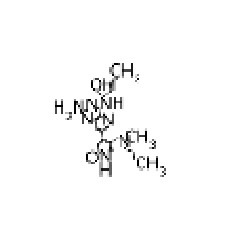 CCCCC(CO)Nc1nc(N)nc2cc(-c3cc(=O)[nH]cc3CN(C)CCCC)cnc12